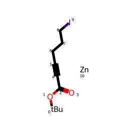 CC(C)(C)OC(=O)C#CCCCI.[Zn]